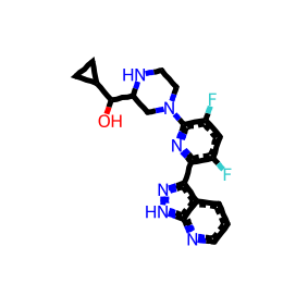 OC(C1CC1)C1CN(c2nc(-c3n[nH]c4ncccc34)c(F)cc2F)CCN1